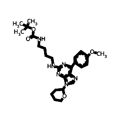 COc1ccc(-c2nc(NCCCCNC(=O)OC(C)(C)C)nc3c2ncn3C2CCCCO2)cc1